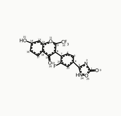 O=c1nc(-c2ccc(-c3c(C(F)(F)F)oc4cc(O)ccc4c3=O)c(F)c2)[nH]o1